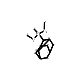 CO[Si](C)(OC)C1C2CC3CC(C2)CC1C3